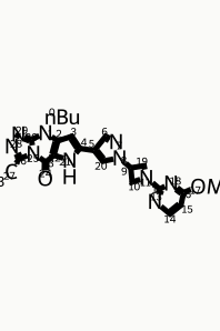 CCCCn1c2cc(-c3cnn(C4CN(c5nccc(OC)n5)C4)c3)[nH]c2c(=O)n2c(C)nnc12